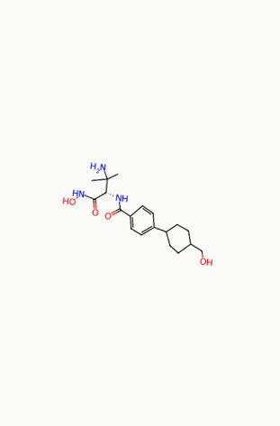 CC(C)(N)[C@H](NC(=O)c1ccc(C2CCC(CO)CC2)cc1)C(=O)NO